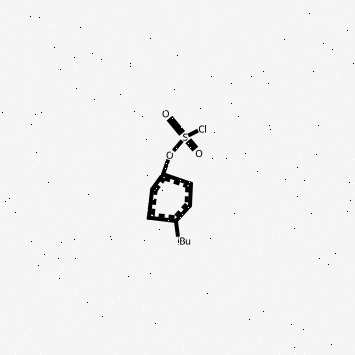 CCC(C)c1ccc(OS(=O)(=O)Cl)cc1